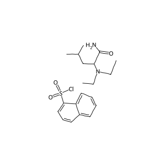 CCN(CC)C(CC(C)C)C(N)=O.O=S(=O)(Cl)c1cccc2ccccc12